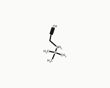 C#CC[SiH2][Si](C)(C)C